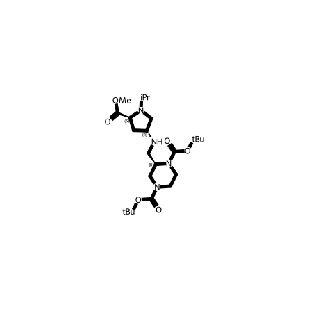 COC(=O)[C@@H]1C[C@@H](NC[C@@H]2CN(C(=O)OC(C)(C)C)CCN2C(=O)OC(C)(C)C)CN1C(C)C